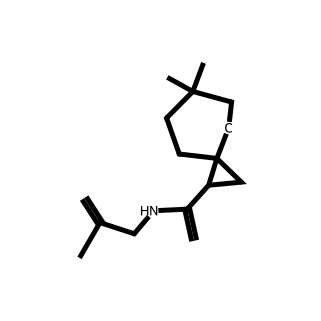 C=C(C)CNC(=C)C1CC12CCC(C)(C)CC2